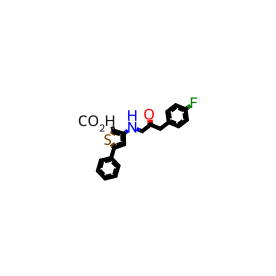 O=C(CNc1cc(-c2ccccc2)sc1C(=O)O)Cc1ccc(F)cc1